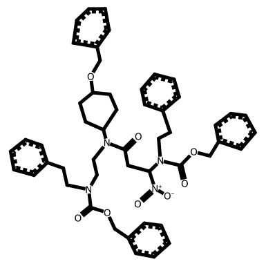 O=C(OCc1ccccc1)N(CCc1ccccc1)CCN(C(=O)CC(N(CCc1ccccc1)C(=O)OCc1ccccc1)[N+](=O)[O-])C1CCC(OCc2ccccc2)CC1